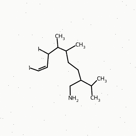 CC(C)C(CN)CCC(C)C(C)C(I)/C=C\I